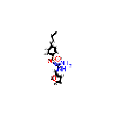 CCCCc1ccc(S(=O)(=O)/N=C(\N)NCc2ccco2)cc1